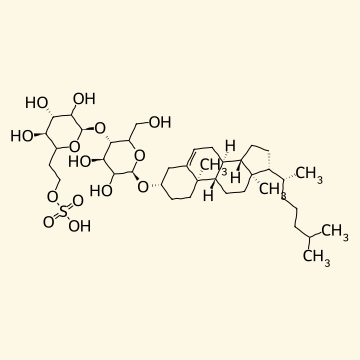 CC(C)CCC[C@@H](C)[C@H]1CC[C@H]2[C@@H]3CC=C4C[C@@H](O[C@@H]5OC(CO)[C@@H](O[C@H]6OC(CCOS(=O)(=O)O)[C@@H](O)[C@H](O)C6O)[C@H](O)C5O)CC[C@]4(C)[C@H]3CC[C@]12C